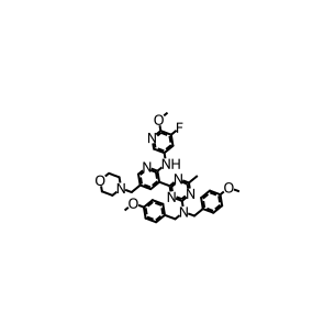 COc1ccc(CN(Cc2ccc(OC)cc2)c2nc(C)nc(-c3cc(CN4CCOCC4)cnc3Nc3cnc(OC)c(F)c3)n2)cc1